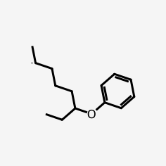 C[CH]CCCC(CC)Oc1ccccc1